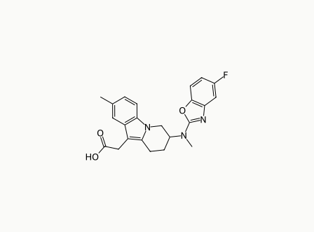 Cc1ccc2c(c1)c(CC(=O)O)c1n2CC(N(C)c2nc3cc(F)ccc3o2)CC1